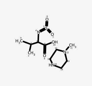 CC(C)C(N=S(=O)=O)C(=O)O.CN1CCNCC1